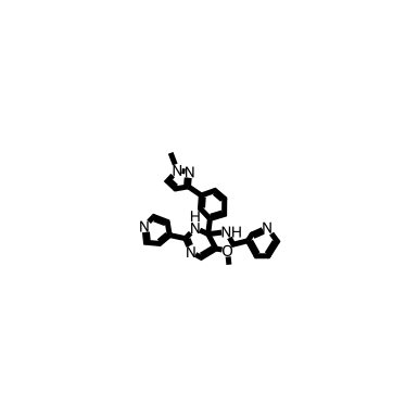 COC1=CN=C(c2ccncc2)NC1(NCc1cccnc1)c1cccc(-c2ccn(C)n2)c1